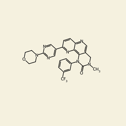 CN1Cc2cnc3ccc(-c4cnc(N5CCOCC5)nc4)nc3c2N(c2cccc(C(F)(F)F)c2)C1=O